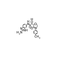 Cc1ccc(N2CCOC(C(O)C(=O)Nc3ccc4nc(N)[nH]c4c3)C2=O)cc1